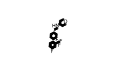 Fc1ccc([C@H]2CC[C@@H](CCNC3CCOCC3)CC2)c(C(F)(F)F)c1